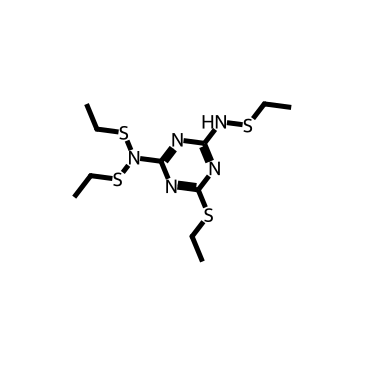 CCSNc1nc(SCC)nc(N(SCC)SCC)n1